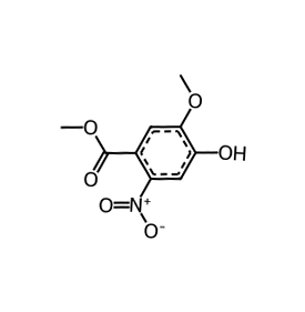 COC(=O)c1cc(OC)c(O)cc1[N+](=O)[O-]